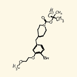 COCCOc1cc(CC2CCN(C(=O)OC(C)(C)C)CC2)ccc1Br